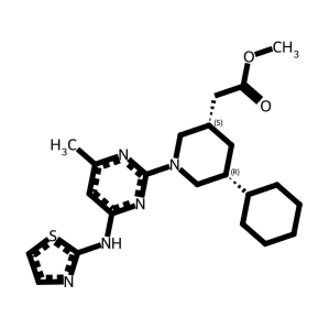 COC(=O)C[C@@H]1C[C@H](C2CCCCC2)CN(c2nc(C)cc(Nc3nccs3)n2)C1